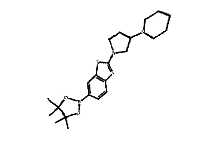 CC1(C)OB(c2ccc3nc(N4CCC(N5CCCCC5)C4)sc3c2)OC1(C)C